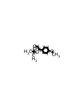 COc1ccc(C([C]=O)OC(C)(C)C)cc1